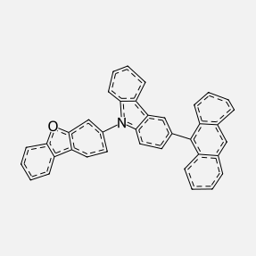 c1ccc2c(-c3ccc4c(c3)c3ccccc3n4-c3ccc4c(c3)oc3ccccc34)c3ccccc3cc2c1